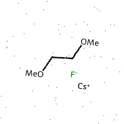 COCCOC.[Cs+].[F-]